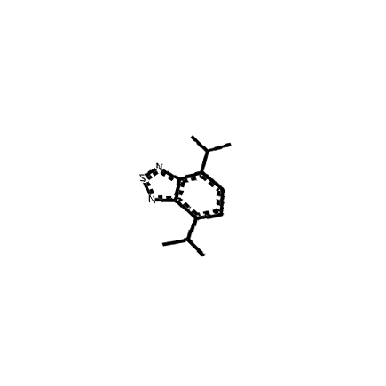 CC(C)c1ccc(C(C)C)c2nsnc12